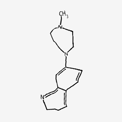 CN1CCN(c2ccc3c(c2)=NCCC=3)CC1